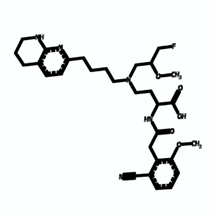 COc1cccc(C#N)c1CC(=O)NC(CCN(CCCCc1ccc2c(n1)NCCC2)CC(CF)OC)C(=O)O